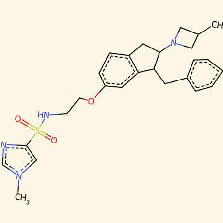 CC1CN(C2Cc3ccc(OCCNS(=O)(=O)c4cn(C)cn4)cc3C2Cc2ccccc2)C1